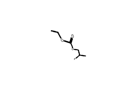 CCOC(=O)OCC(C)F